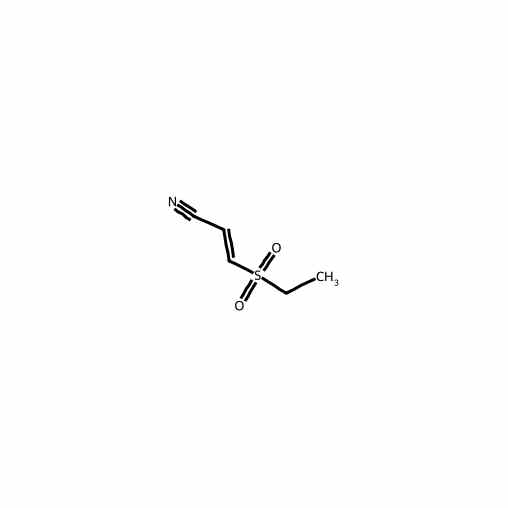 CCS(=O)(=O)/C=C/C#N